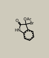 CC(=O)OC1(Br)C(=O)Nc2ccccc21